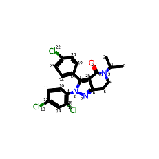 CC(C)N1CCc2nn(-c3ccc(Cl)cc3Cl)c(-c3ccc(Cl)cc3)c2C1=O